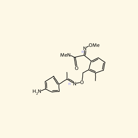 CNC(=O)/C(=N/OC)c1cccc(C)c1CO/N=C(\C)c1ccc(N)cc1